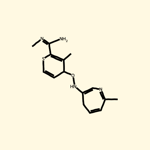 C/N=C(/N)C1=C(C)C(ONC2=CN=C(C)C=CC2)C=CS1